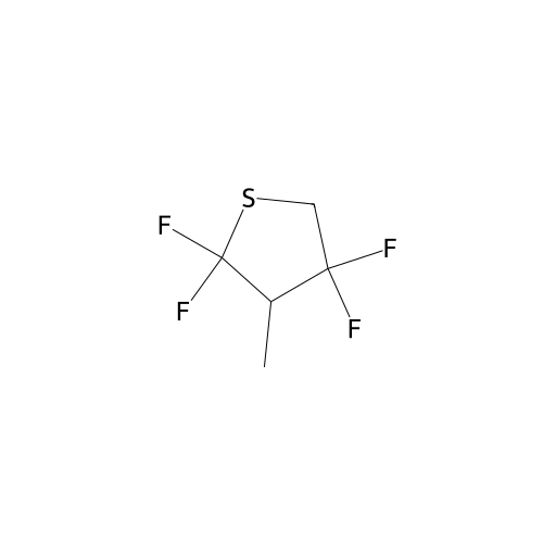 CC1C(F)(F)CSC1(F)F